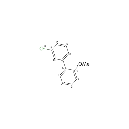 COc1ccccc1-c1cccc(Cl)c1